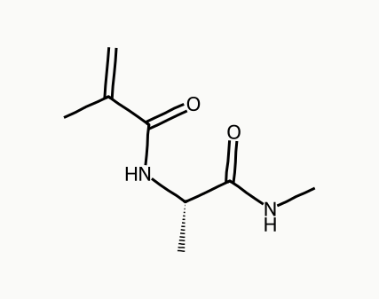 C=C(C)C(=O)N[C@@H](C)C(=O)NC